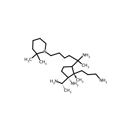 C[C@H](N)[C@@]1(N)CCC(C(C)(N)CCCCN2CCCCC2(C)C)[C@]1(C)CCCN